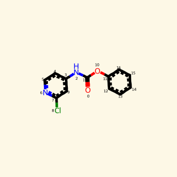 O=C(Nc1ccnc(Cl)c1)Oc1ccccc1